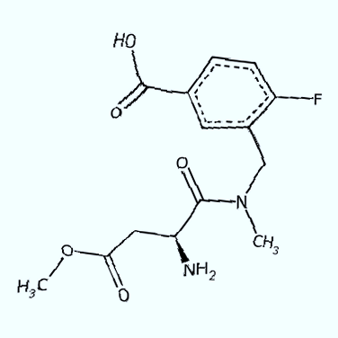 COC(=O)C[C@H](N)C(=O)N(C)Cc1cc(C(=O)O)ccc1F